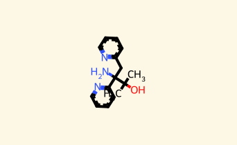 CC(C)(O)C(N)(Cc1ccccn1)c1ccccn1